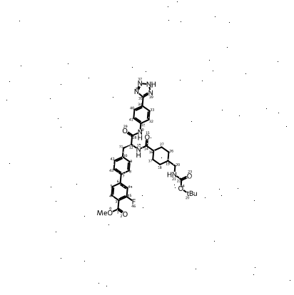 COC(=O)c1ccc(-c2ccc(C[C@H](NC(=O)C3CCC(CNC(=O)OC(C)(C)C)CC3)C(=O)Nc3ccc(-c4nn[nH]n4)cc3)cc2)cc1F